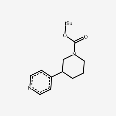 CC(C)(C)OC(=O)N1CCCC(c2ccncc2)C1